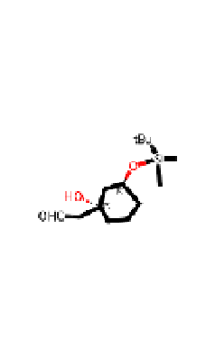 CC(C)(C)[Si](C)(C)O[C@H]1CCC[C@@](O)(CC=O)C1